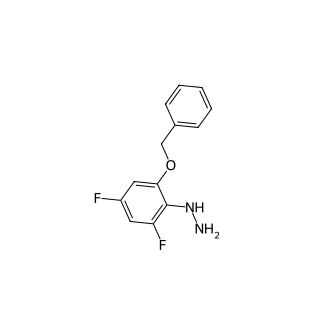 NNc1c(F)cc(F)cc1OCc1ccccc1